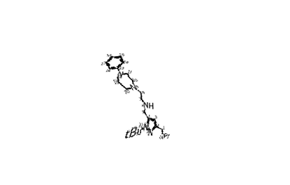 CC(C)Cc1cc(CNCCN2CCN(c3ccccc3)CC2)n(C(C)(C)C)n1